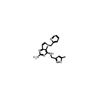 Cc1cc(CNc2nc(N)nc3ccn(Cc4ccccn4)c23)no1